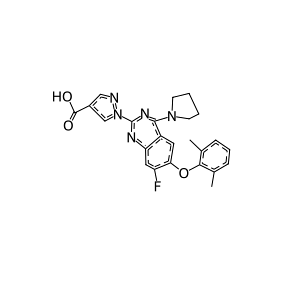 Cc1cccc(C)c1Oc1cc2c(N3CCCC3)nc(-n3cc(C(=O)O)cn3)nc2cc1F